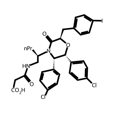 CCC[C@H](CNC(=O)CC(=O)O)N1C(=O)[C@@H](Cc2ccc(I)cc2)O[C@H](c2ccc(Cl)cc2)[C@@H]1c1ccc(Cl)cc1